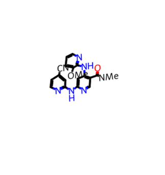 CNC(=O)c1cnc(Nc2cc(C#N)ccn2)cc1Nc1ncccc1OC